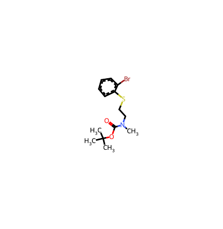 CN(CCSc1ccccc1Br)C(=O)OC(C)(C)C